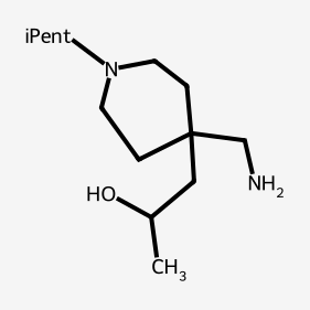 CCCC(C)N1CCC(CN)(CC(C)O)CC1